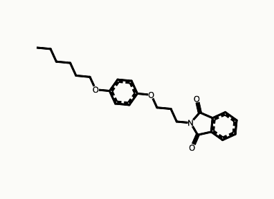 CCCCCCOc1ccc(OCCCN2C(=O)c3ccccc3C2=O)cc1